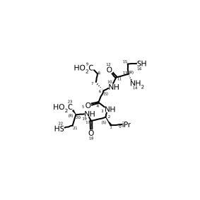 CC(C)C[C@H](NC(=O)[C@H](CCC(=O)O)NC(=O)[C@@H](N)CS)C(=O)N[C@@H](CS)C(=O)O